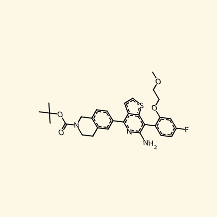 COCCOc1cc(F)ccc1-c1c(N)nc(-c2ccc3c(c2)CCN(C(=O)OC(C)(C)C)C3)c2ccsc12